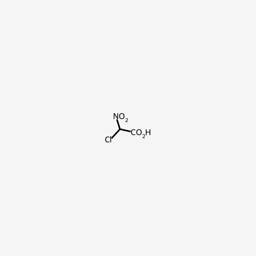 O=C(O)C(Cl)[N+](=O)[O-]